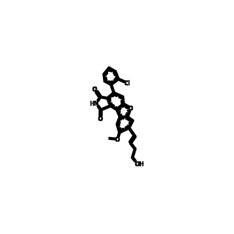 COc1cc2c(cc1C=CCCO)oc1cc(-c3ccccc3Cl)c3c(c12)C(=O)NC3=O